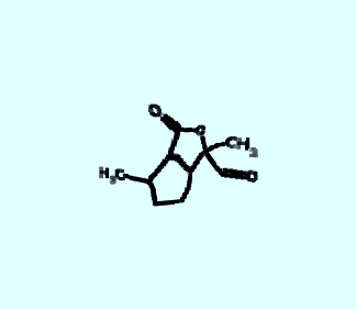 CC1CCC2C1C(=O)OC2(C)C=O